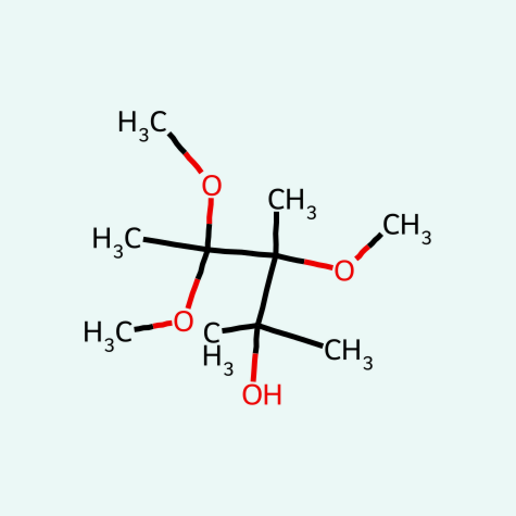 COC(C)(OC)C(C)(OC)C(C)(C)O